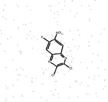 O=[N+]([O-])c1cc2nc(Cl)c(Cl)nc2cc1F